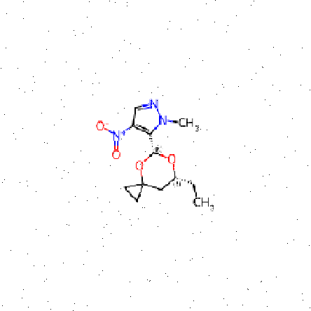 CC[C@@H]1CC2(CC2)O[C@H](c2c([N+](=O)[O-])cnn2C)O1